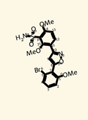 COc1cccc(Br)c1-c1cc(-c2ccc(OC)c(S(N)(=O)=O)c2OC)no1